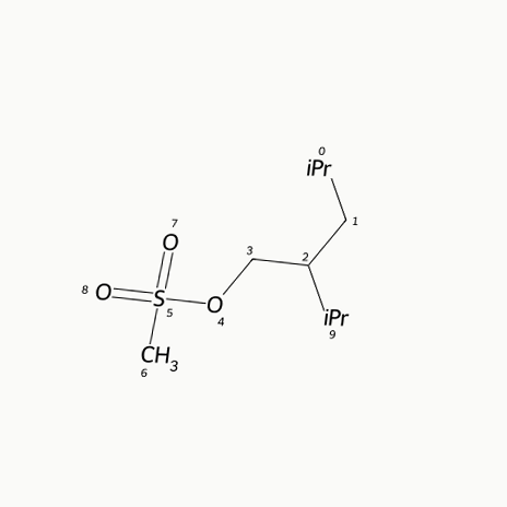 CC(C)CC(COS(C)(=O)=O)C(C)C